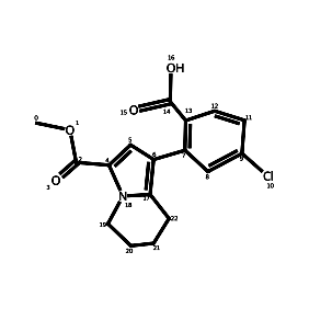 COC(=O)c1cc(-c2cc(Cl)ccc2C(=O)O)c2n1CCCC2